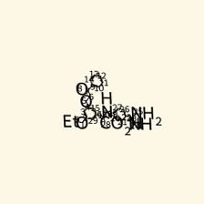 CCOc1cc(OCC(=O)c2ccccc2)cc(C(Nc2ccc(C(=N)N)cc2)C(=O)O)c1